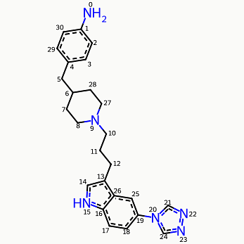 Nc1ccc(CC2CCN(CCCc3c[nH]c4ccc(-n5cnnc5)cc34)CC2)cc1